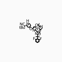 C[C@H](Oc1cc(O[C@H]2CCN[C@@H](C(C#N)C(C)(C)C)C2)nc(-c2noc(C(C)(C)c3c(F)cccc3F)n2)n1)[C@@H]1C[C@H](F)CN1C